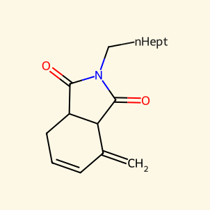 C=C1C=CCC2C(=O)N(CCCCCCCC)C(=O)C12